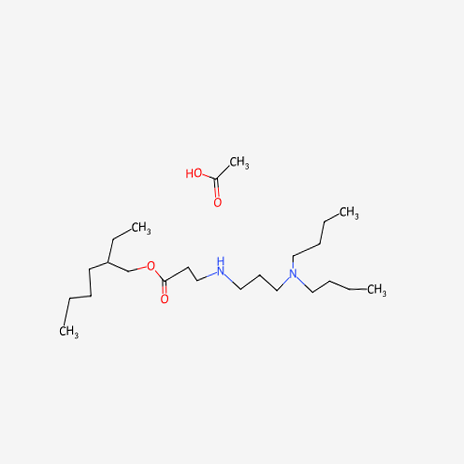 CC(=O)O.CCCCC(CC)COC(=O)CCNCCCN(CCCC)CCCC